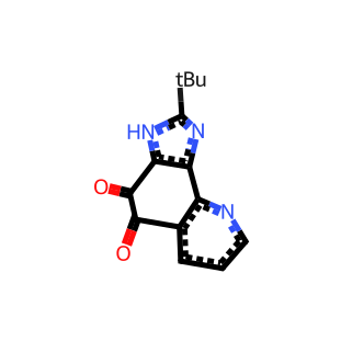 CC(C)(C)c1nc2c([nH]1)C(=O)C(=O)c1cccnc1-2